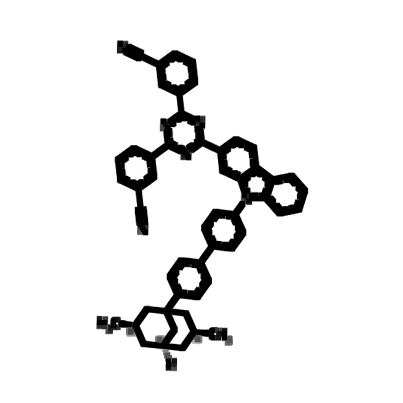 C[C@@H]1C[C@@H]2C[C@H](C)CC(c3ccc(-c4ccc(-n5c6ccccc6c6ccc(-c7nc(-c8cccc(C#N)c8)nc(-c8cccc(C#N)c8)n7)cc65)cc4)cc3)(C1)C2